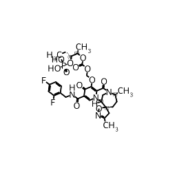 CC[C@@H](OP(=O)(O)O)[C@@H](C)OC(=O)OCOc1c2n(cc(C(=O)NCc3ccc(F)cc3F)c1=O)[C@@H]1CN(C2=O)[C@@H](C)CC[C@]12CC(C)=NO2